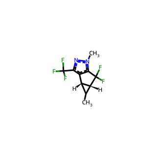 CC1[C@@H]2[C@H]1c1c(C(F)(F)F)nn(C)c1C2(F)F